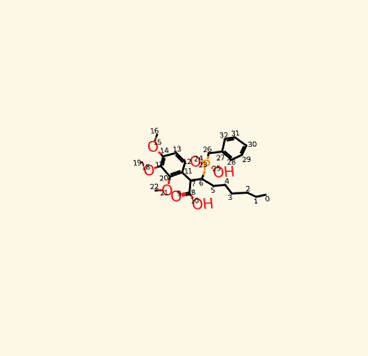 CCCCCCC(C(C(=O)O)c1ccc(OC)c(OC)c1OC)P(=O)(O)Cc1ccccc1